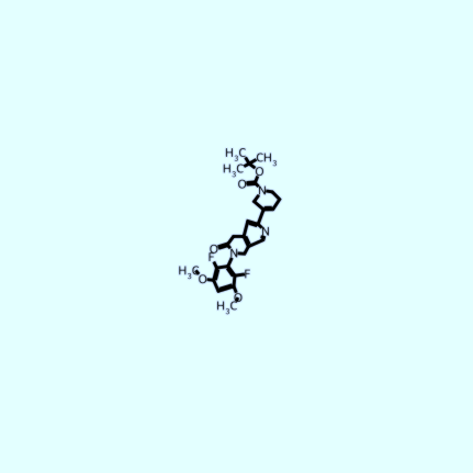 COc1cc(OC)c(F)c(N2Cc3cnc(C4=CCCN(C(=O)OC(C)(C)C)C4)cc3CC2=O)c1F